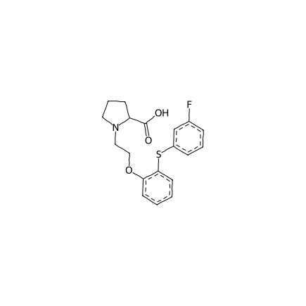 O=C(O)C1CCCN1CCOc1ccccc1Sc1cccc(F)c1